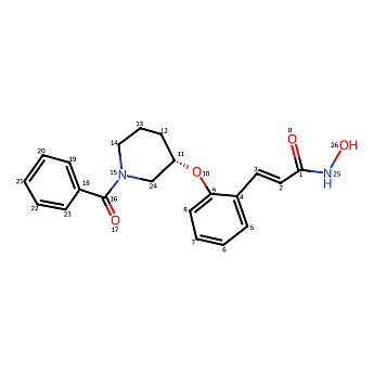 O=C(C=Cc1ccccc1O[C@H]1CCCN(C(=O)c2ccccc2)C1)NO